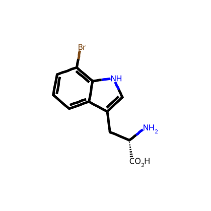 N[C@@H](Cc1c[nH]c2c(Br)cccc12)C(=O)O